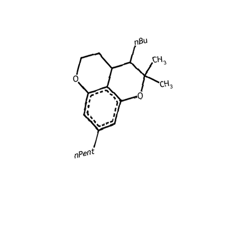 CCCCCc1cc2c3c(c1)OC(C)(C)C(CCCC)C3CCO2